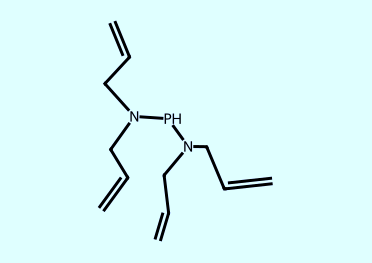 C=CCN(CC=C)PN(CC=C)CC=C